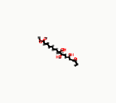 CCC1OC1CC(O)CCC(O)C(O)CCCCCCCC(=O)OC